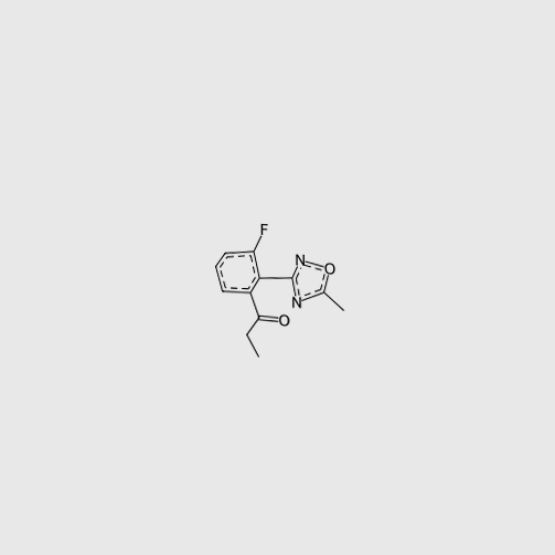 CCC(=O)c1cccc(F)c1-c1noc(C)n1